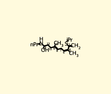 C=C(SC(C)C)C(C)=CC/C=C(\C)CCC(O)NCCC